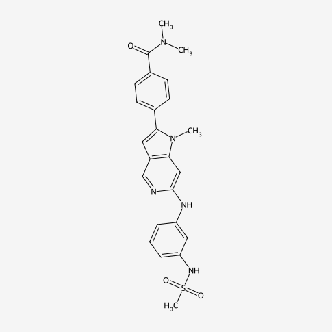 CN(C)C(=O)c1ccc(-c2cc3cnc(Nc4cccc(NS(C)(=O)=O)c4)cc3n2C)cc1